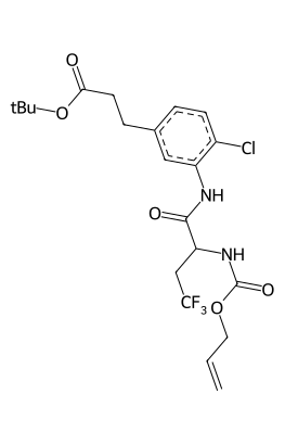 C=CCOC(=O)NC(CC(F)(F)F)C(=O)Nc1cc(CCC(=O)OC(C)(C)C)ccc1Cl